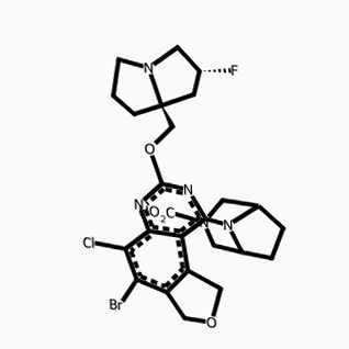 O=C(O)N1CC2CCC(C1)N2c1nc(OC[C@@]23CCCN2C[C@H](F)C3)nc2c(Cl)c(Br)c3c(c12)COC3